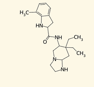 CCC1(CC)CC2NCCN2CC1NC(=O)C1Cc2cccc(C)c2N1